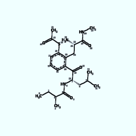 CCC(C)C(=O)N[C@@H](CC(C)C)C(=O)c1cccc(SC(C)=O)c1C[C@H](N)C(=O)NC